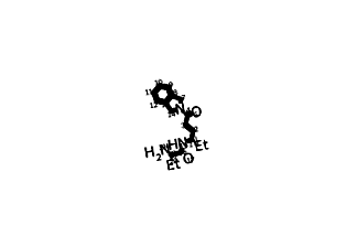 CC[C@@H](C=CC(=O)N1Cc2ccccc2C1)NC(=O)[C@@H](N)CC